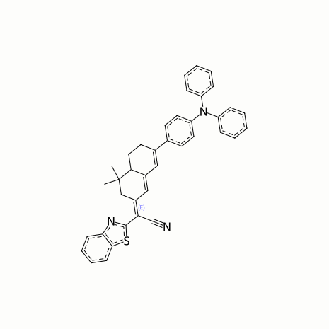 CC1(C)C/C(=C(/C#N)c2nc3ccccc3s2)C=C2C=C(c3ccc(N(c4ccccc4)c4ccccc4)cc3)CCC21